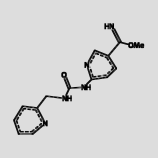 COC(=N)c1ccc(NC(=O)NCc2ccccn2)nc1